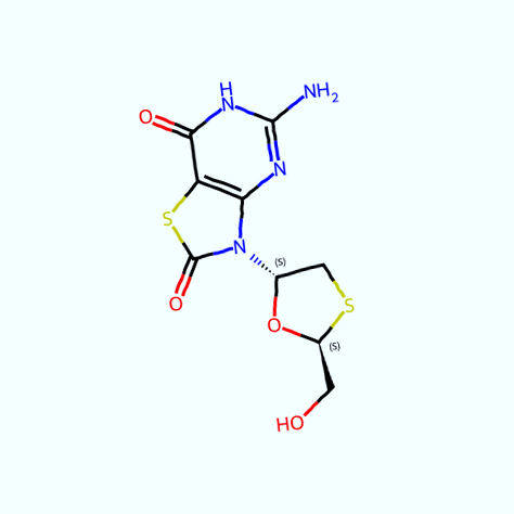 Nc1nc2c(sc(=O)n2[C@@H]2CS[C@@H](CO)O2)c(=O)[nH]1